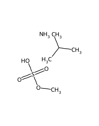 CC(C)C.COS(=O)(=O)O.N